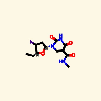 CC[C@H]1O[C@@H](n2cc(C(=O)NC)c(=O)[nH]c2=O)CC1I